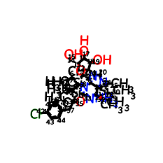 CC[Si](CC)(C(C)C)N1C2N([C@@H]3O[C@H](CO)C(O)C3O)C=NC2([Si](CC)(CC)C(C)C)C(N)=NC1(OCCc1ccc(Cl)cc1)[Si](CC)(CC)C(C)C